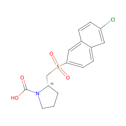 O=C(O)N1CCC[C@H]1CS(=O)(=O)c1ccc2cc(Cl)ccc2c1